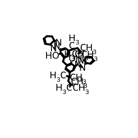 CC(C)(C)CC(C)(C)c1cc(Cc2cc(C(C)(C)CC(C)(C)C)cc(-n3nc4ccccc4n3)c2O)c(O)c(-n2nc3c(n2)CCC=C3)c1